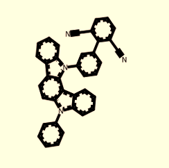 N#Cc1cccc(C#N)c1-c1cccc(-n2c3ccccc3c3ccc4c(c5ccccc5n4-c4ccccc4)c32)c1